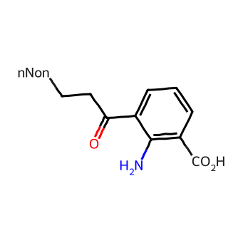 CCCCCCCCCCCC(=O)c1cccc(C(=O)O)c1N